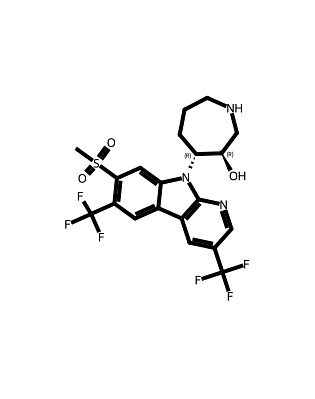 CS(=O)(=O)c1cc2c(cc1C(F)(F)F)c1cc(C(F)(F)F)cnc1n2[C@@H]1CCCNC[C@H]1O